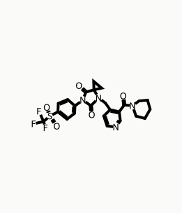 O=C(c1cnccc1CN1C(=O)N(c2ccc(S(=O)(=O)C(F)(F)F)cc2)C(=O)C12CC2)N1CCCCC1